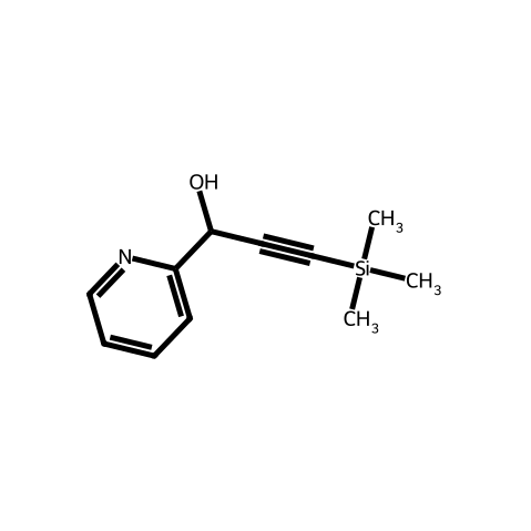 C[Si](C)(C)C#CC(O)c1ccccn1